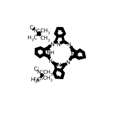 [C-]#[N+]C(C)(C)C.[C-]#[N+]C(C)(C)C.[Fe+2].c1ccc2c(c1)-c1nc-2nc2[nH]c(nc3nc(nc4[nH]c(n1)c1ccccc41)-c1ccccc1-3)c1ccccc21